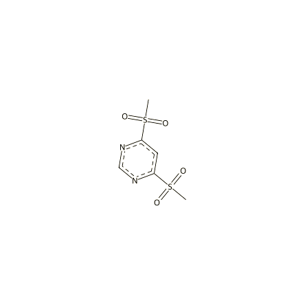 CS(=O)(=O)c1cc(S(C)(=O)=O)ncn1